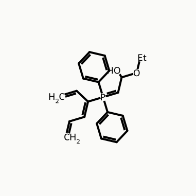 C=C/C=C(\C=C)P(=CC(O)OCC)(c1ccccc1)c1ccccc1